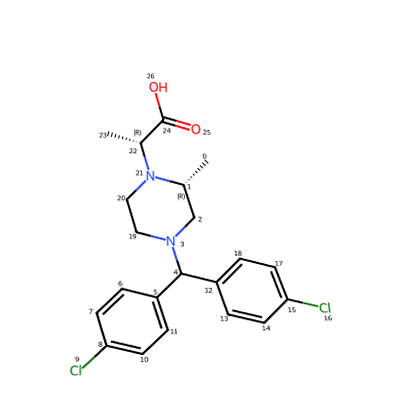 C[C@@H]1CN(C(c2ccc(Cl)cc2)c2ccc(Cl)cc2)CCN1[C@H](C)C(=O)O